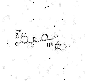 CN1CCc2nc(NC(=O)c3cccc(CNC(=O)c4ccc(OC(F)(F)F)c(Cl)c4)c3)sc2C1